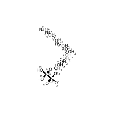 O.O.O.O.O.O.O.O.O.O.O.O.O=P([O-])([O-])P(=O)(O)O.[Na+].[Na+]